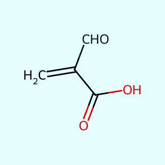 C=C(C=O)C(=O)O